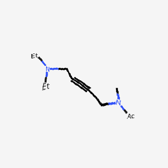 CCN(CC)CC#CCN(C)C(C)=O